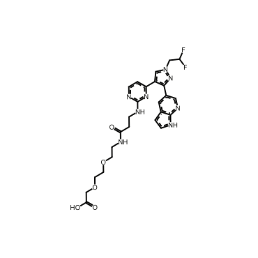 O=C(O)COCCOCCNC(=O)CCNc1nccc(-c2cn(CC(F)F)nc2-c2cnc3[nH]ccc3c2)n1